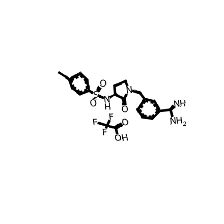 Cc1ccc(S(=O)(=O)N[C@H]2CCN(Cc3cccc(C(=N)N)c3)C2=O)cc1.O=C(O)C(F)(F)F